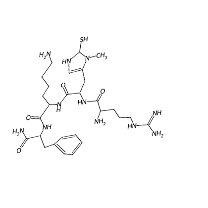 CN1C(CC(NC(=O)C(N)CCCNC(=N)N)C(=O)NC(CCCCN)C(=O)NC(Cc2ccccc2)C(N)=O)=CNC1S